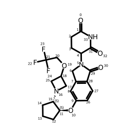 O=C1CCC(N2Cc3cc(O[C@H]4CCC[C@@H]4N4CC(OCC(F)(F)F)C4)ccc3C2=O)C(=O)N1